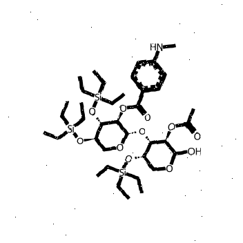 CC[Si](CC)(CC)O[C@@H]1[C@@H](OC(=O)c2ccc(NC)cc2)[C@H](O[C@H]2[C@@H](O[Si](CC)(CC)CC)COC(O)[C@@H]2OC(C)=O)OC[C@H]1O[Si](CC)(CC)CC